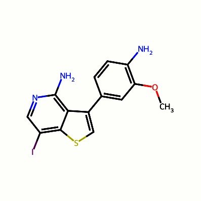 COc1cc(-c2csc3c(I)cnc(N)c23)ccc1N